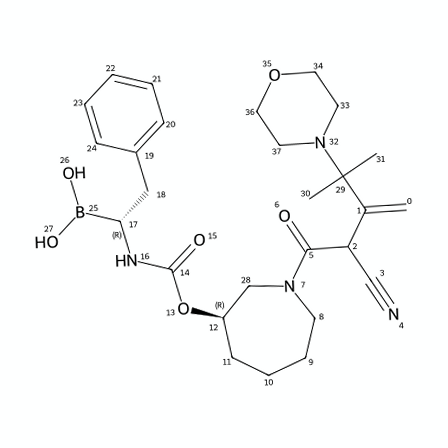 C=C(C(C#N)C(=O)N1CCCC[C@@H](OC(=O)N[C@@H](Cc2ccccc2)B(O)O)C1)C(C)(C)N1CCOCC1